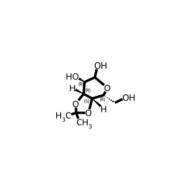 CC1(C)O[C@@H]2[C@H](O1)[C@@H](O)C(O)O[C@@H]2CO